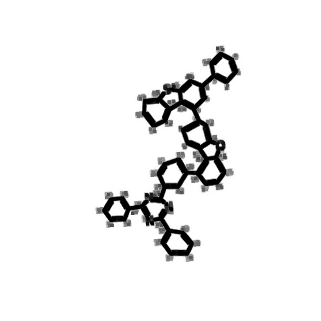 c1ccc(-c2cc(-c3ccc4c(c3)oc3cccc(-c5cccc(-c6nc(-c7ccccc7)nc(-c7ccccc7)n6)c5)c34)c3c(c2)sc2ccccc23)cc1